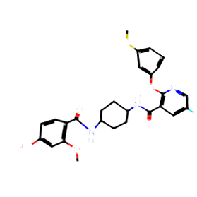 COc1cc(O)ccc1C(=O)NC1CCC(NC(=O)c2cc(F)cnc2Oc2cccc(SC)c2)CC1